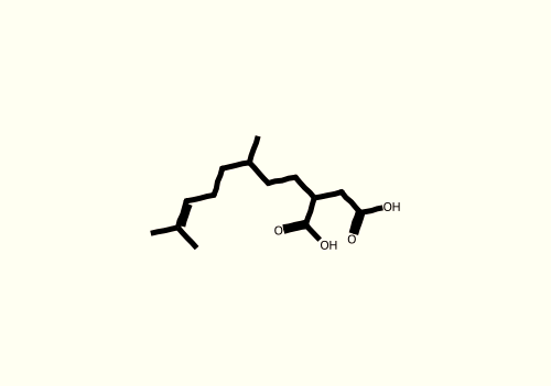 CC(C)=CCCC(C)CCC(CC(=O)O)C(=O)O